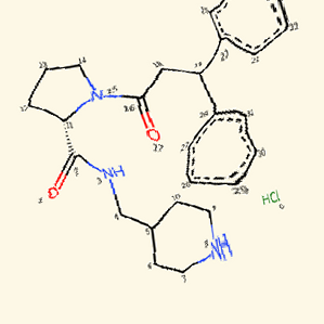 Cl.O=C(NCC1CCNCC1)[C@@H]1CCCN1C(=O)CC(c1ccccc1)c1ccccc1